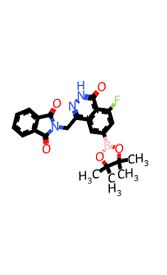 CC1(C)OB(c2cc(F)c3c(=O)[nH]nc(CN4C(=O)c5ccccc5C4=O)c3c2)OC1(C)C